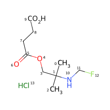 CC(C)(COC(=O)CCC(=O)O)NCF.Cl